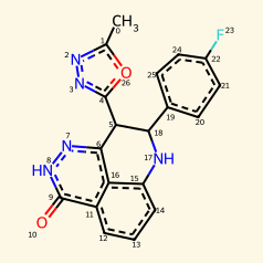 Cc1nnc(C2c3n[nH]c(=O)c4cccc(c34)NC2c2ccc(F)cc2)o1